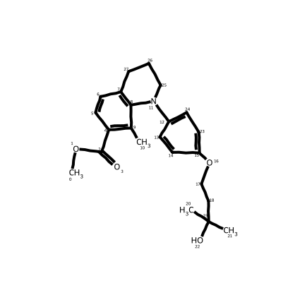 COC(=O)c1ccc2c(c1C)N(c1ccc(OCCC(C)(C)O)cc1)CCC2